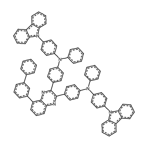 c1ccc(-c2cccc(-c3cccc4nc(-c5ccc(N(c6ccccc6)c6ccc(-n7c8ccccc8c8ccccc87)cc6)cc5)c(-c5ccc(N(c6ccccc6)c6ccc(-n7c8ccccc8c8ccccc87)cc6)cc5)nc34)c2)cc1